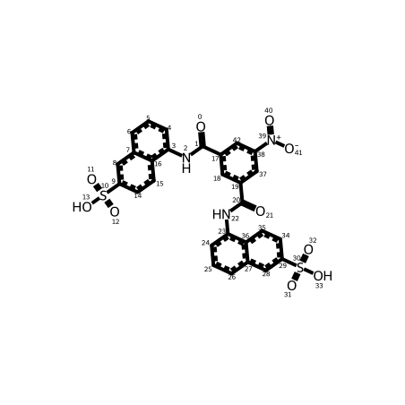 O=C(Nc1cccc2cc(S(=O)(=O)O)ccc12)c1cc(C(=O)Nc2cccc3cc(S(=O)(=O)O)ccc23)cc([N+](=O)[O-])c1